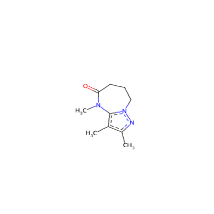 Cc1nn2c(c1C)N(C)C(=O)CCC2